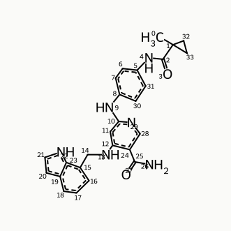 CC1(C(=O)Nc2ccc(Nc3cc(NCc4cccc5cc[nH]c45)c(C(N)=O)cn3)cc2)CC1